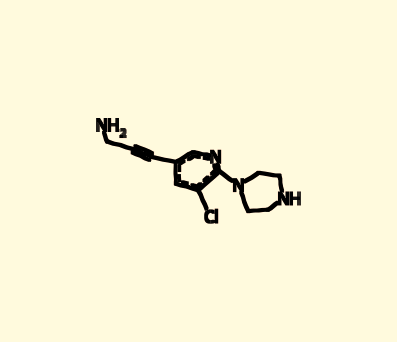 NCC#Cc1cnc(N2CCNCC2)c(Cl)c1